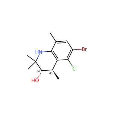 Cc1cc(Br)c(Cl)c2c1NC(C)(C)[C@@H](O)[C@@H]2C